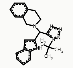 CC(C)(C)n1nnnc1C(c1cc2ccccc2[nH]1)N1CCc2ccccc2C1